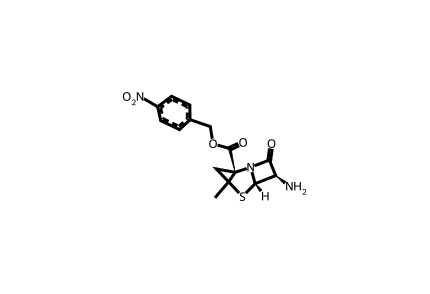 CC12C[C@]1(C(=O)OCc1ccc([N+](=O)[O-])cc1)N1C(=O)[C@@H](N)[C@@H]1S2